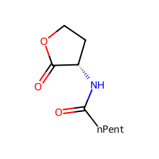 CCCCCC(=O)N[C@H]1CCOC1=O